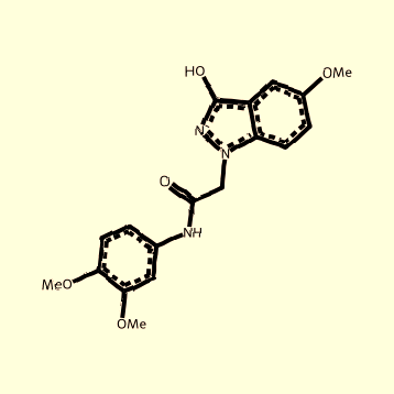 COc1ccc2c(c1)c(O)nn2CC(=O)Nc1ccc(OC)c(OC)c1